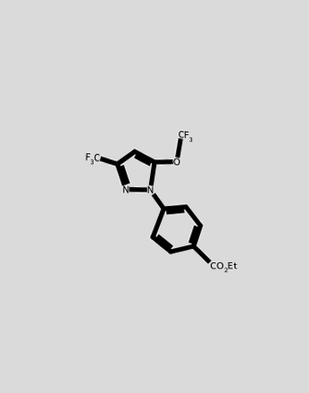 CCOC(=O)c1ccc(-n2nc(C(F)(F)F)cc2OC(F)(F)F)cc1